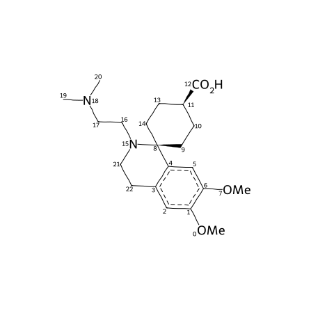 COc1cc2c(cc1OC)[C@]1(CC[C@H](C(=O)O)CC1)N(CCN(C)C)CC2